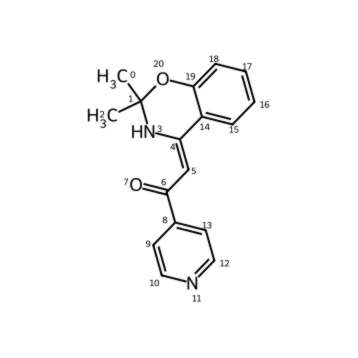 CC1(C)N/C(=C\C(=O)c2ccncc2)c2ccccc2O1